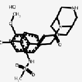 COc1cc(C=CC(=O)N2C3CNCC2CN(Cc2ccc(F)cc2)C3)c(NS(C)(=O)=O)cc1Cl.Cl